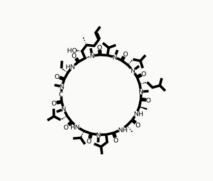 C/C=C/C[C@@H](C)[C@@H](O)[C@H]1C(=O)N[C@@H](CC)C(=O)N(C)CC(=O)N(C)[C@@H](CC(C)C)C(=O)N[C@@H](C(C)C)C(=O)N(C)C(CC(C)C)C(=O)N[C@@H](C)C(=O)N[C@H](C)C(=O)N(C)[C@@H](CCC(C)C)C(=O)N(C)[C@@H](CC(C)C)C(=O)N(C)C(C(C)C)C(=O)N1C